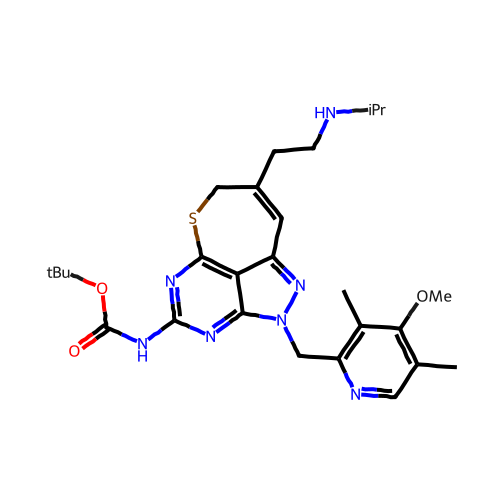 COc1c(C)cnc(Cn2nc3c4c(nc(NC(=O)OC(C)(C)C)nc42)SCC(CCNC(C)C)=C3)c1C